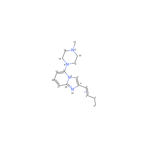 CC/C=C/c1cn2c(N3CCN(C)CC3)cccc2n1